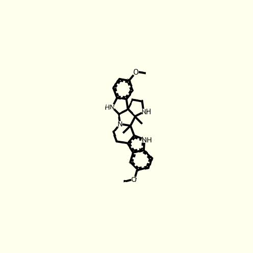 COc1ccc2c(c1)C13CCNC1(C)C1(C)c4[nH]c5ccc(OC)cc5c4CCN1C3N2